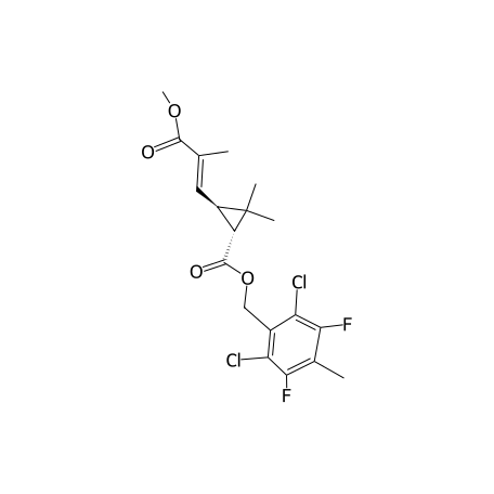 COC(=O)/C(C)=C/[C@@H]1[C@@H](C(=O)OCc2c(Cl)c(F)c(C)c(F)c2Cl)C1(C)C